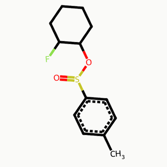 Cc1ccc(S(=O)OC2CCCCC2F)cc1